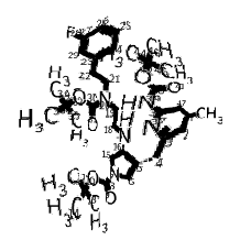 Cc1cc(C[C@@H]2CN(C(=O)OC(C)(C)C)C[C@@H]2NCCN(CCc2cccc(F)c2)C(=O)OC(C)(C)C)nc(NC(=O)OC(C)(C)C)c1